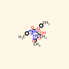 Cc1ccc(CNC(=O)[C@H](COc2ccc(C)cc2)NC(=O)[C@@H](NC(=O)c2cc(C)on2)[C@@H](C)O)cc1